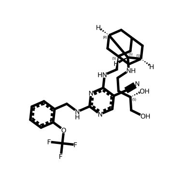 N#Cc1cnc(NCc2ccccc2OC(F)(F)F)nc1NC[C@]12CC3C[C@H](C1)[C@@H](NCC[C@H](O)CO)[C@@H](C3)C2